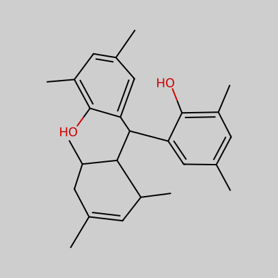 CC1=CC(C)C(C(c2cc(C)cc(C)c2O)c2cc(C)cc(C)c2O)C(C)C1